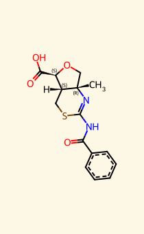 C[C@]12CO[C@H](C(=O)O)[C@H]1CSC(NC(=O)c1ccccc1)=N2